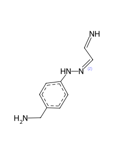 N=C/C=N\Nc1ccc(CN)cc1